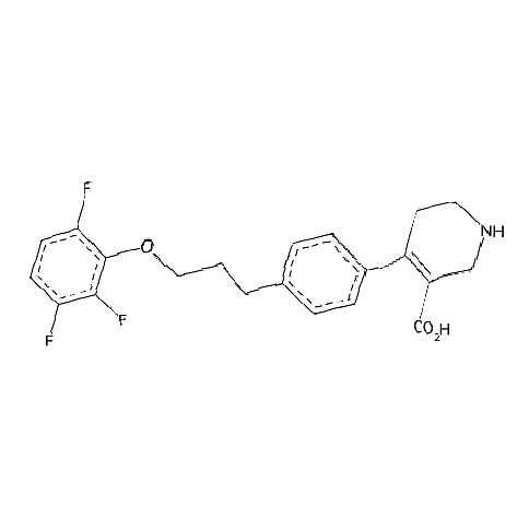 O=C(O)C1=C(c2ccc(CCCOc3c(F)ccc(F)c3F)cc2)CCNC1